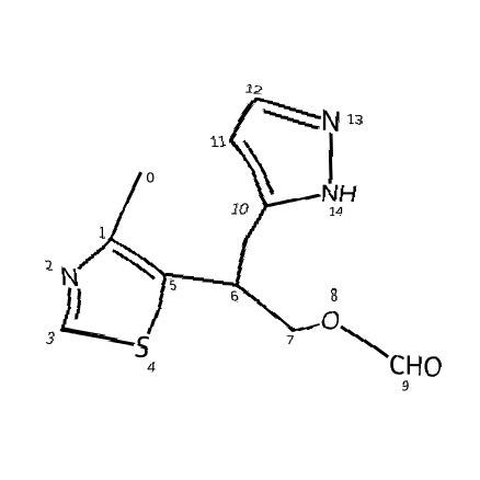 Cc1ncsc1C(COC=O)c1ccn[nH]1